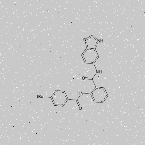 CC(C)(C)c1ccc(C(=O)Nc2ccccc2C(=O)Nc2ccc3nc[nH]c3c2)cc1